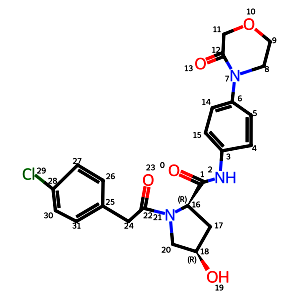 O=C(Nc1ccc(N2CCOCC2=O)cc1)[C@H]1C[C@@H](O)CN1C(=O)Cc1ccc(Cl)cc1